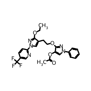 CCOc1nn(-c2ccc(C(F)(F)F)cn2)cc1CCOc1nn(-c2ccccc2)cc1OC(C)=O